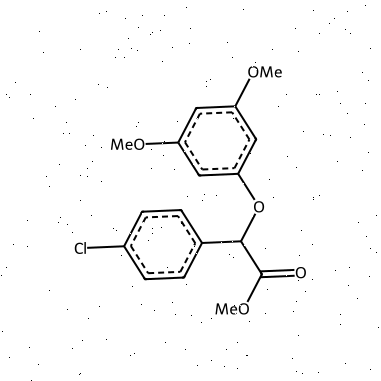 COC(=O)C(Oc1cc(OC)cc(OC)c1)c1ccc(Cl)cc1